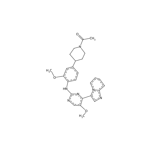 COc1cc(C2CCN(C(C)=O)CC2)ccc1Nc1ncc(OC)c(-c2cnc3ccccn23)n1